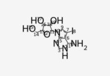 NC1NC=Nc2c1c(I)cn2C1OC(CO)C(O)C1O